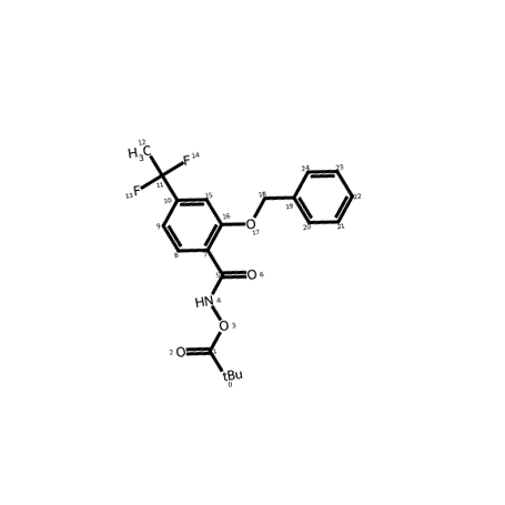 CC(C)(C)C(=O)ONC(=O)c1ccc(C(C)(F)F)cc1OCc1ccccc1